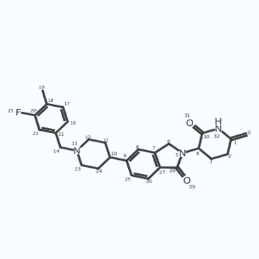 C=C1CCC(N2Cc3cc(C4CCN(Cc5ccc(C)c(F)c5)CC4)ccc3C2=O)C(=O)N1